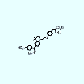 CCOC(=O)C(Cc1ccc(OCCN2CCC(C)(C)c3cc(C(=NOC)c4ccc(C(=O)O)cc4)ccc32)cc1)OCC